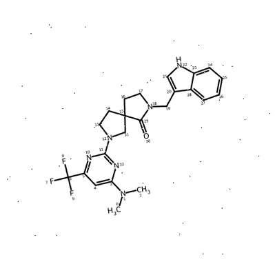 CN(C)c1cc(C(F)(F)F)nc(N2CCC3(CCN(Cc4c[nH]c5ccccc45)C3=O)C2)n1